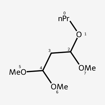 CCCOC(CC(OC)OC)OC